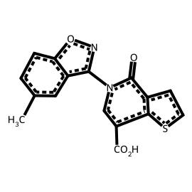 Cc1ccc2onc(-n3cc(C(=O)O)c4sccc4c3=O)c2c1